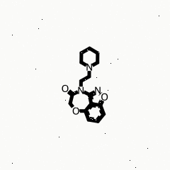 O=C1COc2cccc3onc(c23)N1CCN1CCCCC1